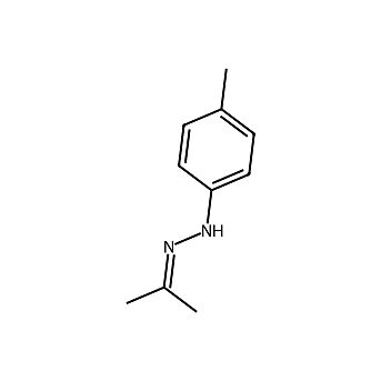 CC(C)=NNc1ccc(C)cc1